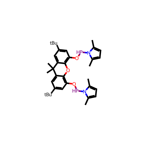 Cc1ccc(C)n1POc1cc(C(C)(C)C)cc2c1Oc1c(OPn3c(C)ccc3C)cc(C(C)(C)C)cc1C2(C)C